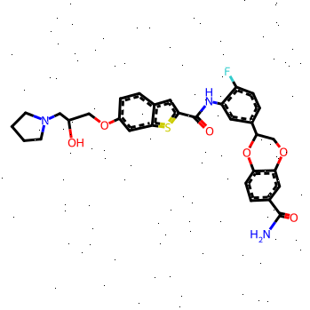 NC(=O)c1ccc2c(c1)OCC(c1ccc(F)c(NC(=O)c3cc4ccc(OCC(O)CN5CCCC5)cc4s3)c1)O2